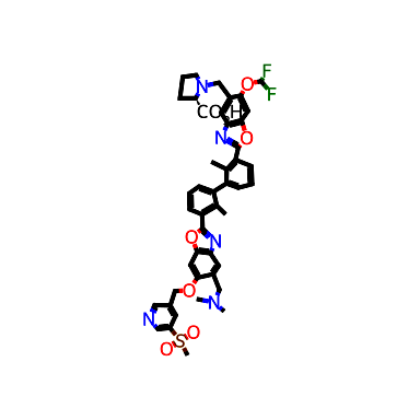 Cc1c(-c2nc3cc(CN(C)C)c(OCc4cncc(S(C)(=O)=O)c4)cc3o2)cccc1-c1cccc(-c2nc3cc(CN4CCC[C@H]4C(=O)O)c(OC(F)F)cc3o2)c1C